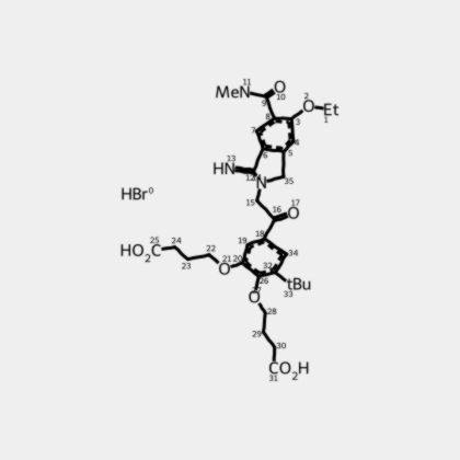 Br.CCOc1cc2c(cc1C(=O)NC)C(=N)N(CC(=O)c1cc(OCCCC(=O)O)c(OCCCC(=O)O)c(C(C)(C)C)c1)C2